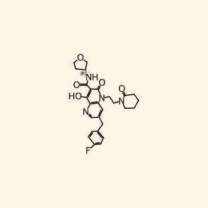 O=C(N[C@@H]1CCOC1)c1c(O)c2ncc(Cc3ccc(F)cc3)cc2n(CCN2CCCCC2=O)c1=O